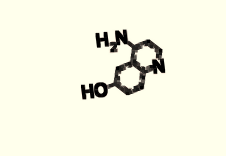 Nc1ccnc2ccc(O)cc12